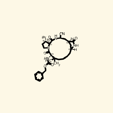 CC(C)[C@H]1CCN2C(=O)[C@@H](NC(=O)OCc3ccccc3)C(C)(C)CCCC[C@@H]3C[C@@H](CC(C#N)NC(=O)[C@H]12)C(=O)N3